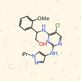 COc1ccccc1C(CO)Nc1nc(Nc2cnn(C(C)C)c2)ncc1Cl